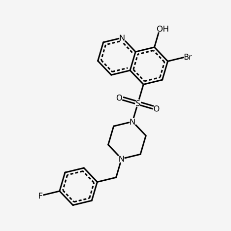 O=S(=O)(c1cc(Br)c(O)c2ncccc12)N1CCN(Cc2ccc(F)cc2)CC1